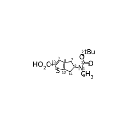 CN(C(=O)OC(C)(C)C)C1Cc2cc(C(=O)O)sc2C1